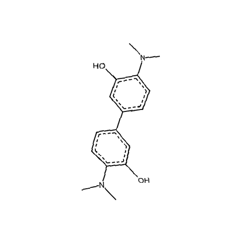 CN(C)c1ccc(-c2ccc(N(C)C)c(O)c2)cc1O